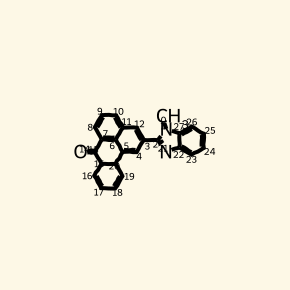 Cn1c(-c2cc3c4c(cccc4c2)C(=O)C2C=CC=CC32)nc2ccccc21